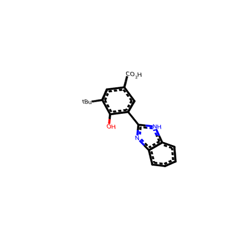 CC(C)(C)c1cc(C(=O)O)cc(-c2nc3ccccc3[nH]2)c1O